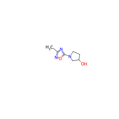 Cc1noc(N2CCC(O)C2)n1